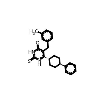 Cc1cccc(Cc2c(=O)[nH]c(=S)[nH]c2[C@H]2CC[C@H](c3ccccc3)CC2)c1